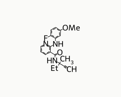 C#CC(C)(CC)NC(=O)c1cccnc1Nc1cc(OC)ccc1F